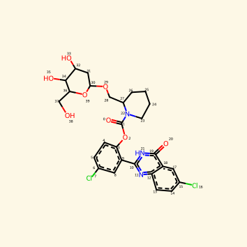 O=C(Oc1ccc(Cl)cc1-c1nc2ccc(Cl)cc2c(=O)[nH]1)N1CCCCC1COC1CC(O)C(O)C(CO)O1